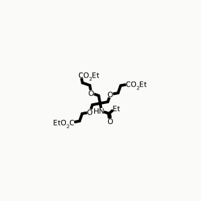 CCOC(=O)CCOCC(COCCC(=O)OCC)(COCCC(=O)OCC)NC(=O)CC